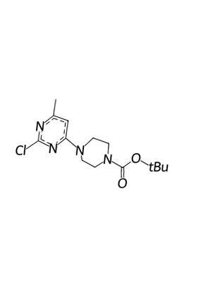 Cc1cc(N2CCN(C(=O)OC(C)(C)C)CC2)nc(Cl)n1